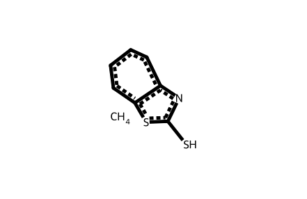 C.Sc1nc2ccccc2s1